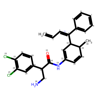 C=C/C=C(/c1ccccc1)C1C=C(NC(=O)C(CN)c2ccc(Cl)c(Cl)c2)C=CC1C